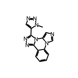 Cn1nncc1-c1nnc2c3ccccc3n3cncc3n12